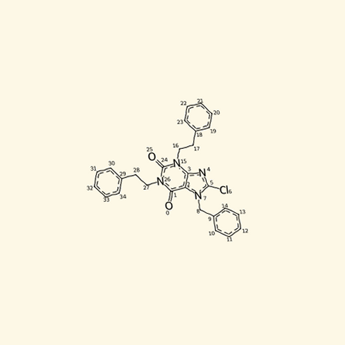 O=c1c2c(nc(Cl)n2Cc2ccccc2)n(CCc2ccccc2)c(=O)n1CCc1ccccc1